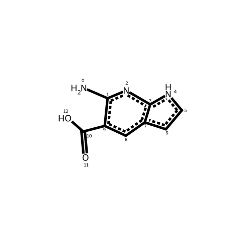 Nc1nc2[nH]ccc2cc1C(=O)O